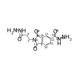 NNC(=O)CCN1C(=O)c2ccc(C(=O)NN)cc2C1=O